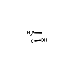 CP.OCl